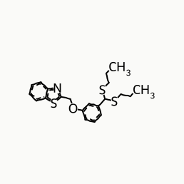 CCCSC(SCCC)c1cccc(OCc2nc3ccccc3s2)c1